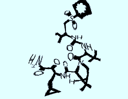 CC(C)[C@@H](CS(=O)(=O)c1ccccc1)NC(=O)N[C@H](C(=O)N1CC2[C@@H]([C@H]1C(=O)NC(CC1CC1)C(=O)C(N)=O)C2(C)C)C(C)(C)C